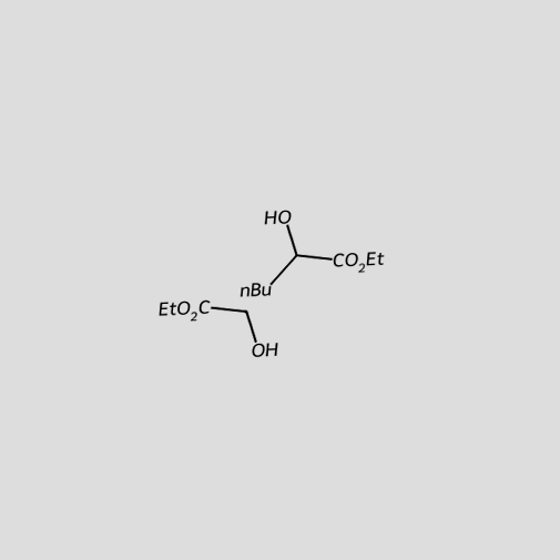 CCCCC(O)C(=O)OCC.CCOC(=O)CO